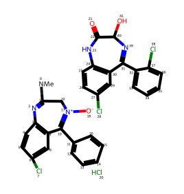 CNC1=Nc2ccc(Cl)cc2C(c2ccccc2)=[N+]([O-])C1.Cl.O=C1Nc2ccc(Cl)cc2C(c2ccccc2Cl)=NC1O